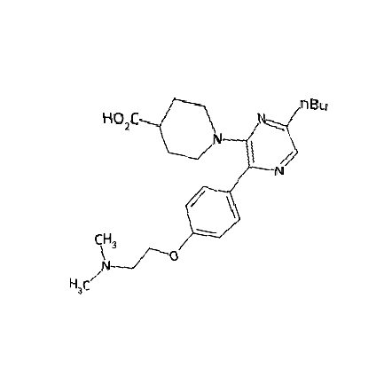 CCCCc1cnc(-c2ccc(OCCN(C)C)cc2)c(N2CCC(C(=O)O)CC2)n1